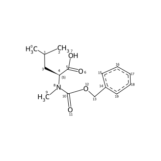 CC(C)C[C@@H](C(=O)O)N(C)C(=O)OCc1ccccc1